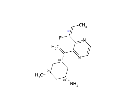 C=C(c1nccnc1/C(F)=C\C)[C@H]1C[C@@H](C)C[C@@H](N)C1